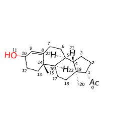 CC(=O)[C@H]1CC[C@H]2[C@@H]3CCC4=CC(O)CC[C@@]4(C)[C@@H]3CC[C@]12C